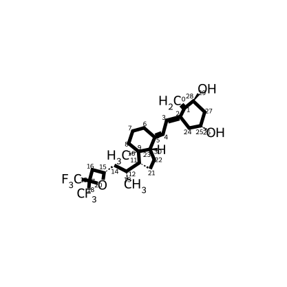 C=C1/C(=C/C=C2CCC[C@]3(C)[C@@H]([C@H](C)C[C@H]4CC(C(F)(F)F)(C(F)(F)F)O4)CC[C@@H]23)C[C@@H](O)C[C@@H]1O